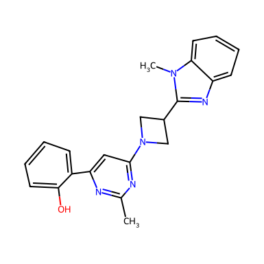 Cc1nc(-c2ccccc2O)cc(N2CC(c3nc4ccccc4n3C)C2)n1